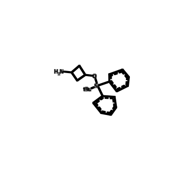 CC(C)(C)[Si](OC1CC(N)C1)(c1ccccc1)c1ccccc1